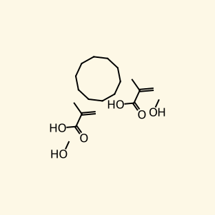 C1CCCCCCCCC1.C=C(C)C(=O)O.C=C(C)C(=O)O.CO.CO